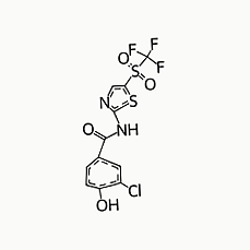 O=C(Nc1ncc(S(=O)(=O)C(F)(F)F)s1)c1ccc(O)c(Cl)c1